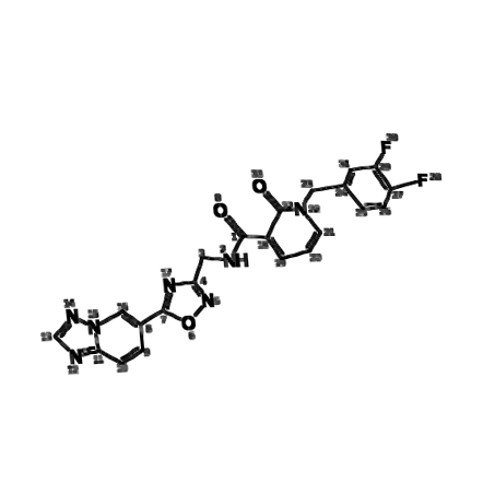 O=C(NCc1noc(-c2ccc3ncnn3c2)n1)c1cccn(Cc2ccc(F)c(F)c2)c1=O